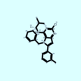 Cc1cccc(-c2cc3nc(Cl)nc(N[C@H](C)C(C)C)c3n2CC2=CCCC=C2)c1